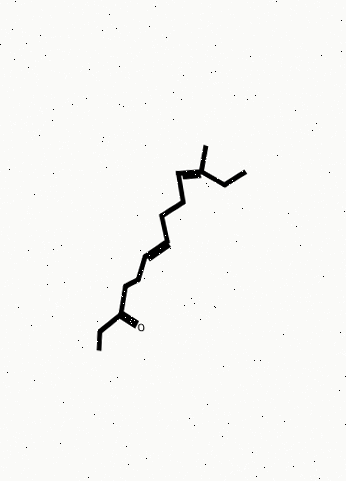 CCC(=O)CCC=CCCC=C(C)CC